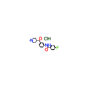 CN1CCC(C(=O)c2cccc(NC(=O)c3ccc(F)cc3)c2)CC1.Cl